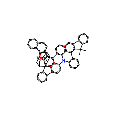 CC1(C)c2ccccc2-c2cccc(-c3ccccc3N(c3ccc4c(c3)C3(c5ccccc5-4)C4CC5CC(C4)CC3C5)c3ccccc3-c3cccc4oc5c6ccccc6ccc5c34)c21